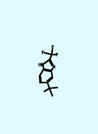 CC(C)(C)c1ccc2[nH]c(C(F)(F)F)nc2c1